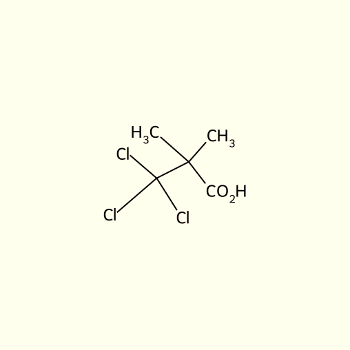 CC(C)(C(=O)O)C(Cl)(Cl)Cl